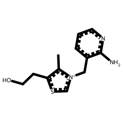 Cc1c(CCO)sc[n+]1Cc1cccnc1N